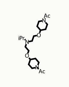 CC(=O)N1CCC(OCCN(CCOC2CCN(C(C)=O)CC2)C(C)C)CC1